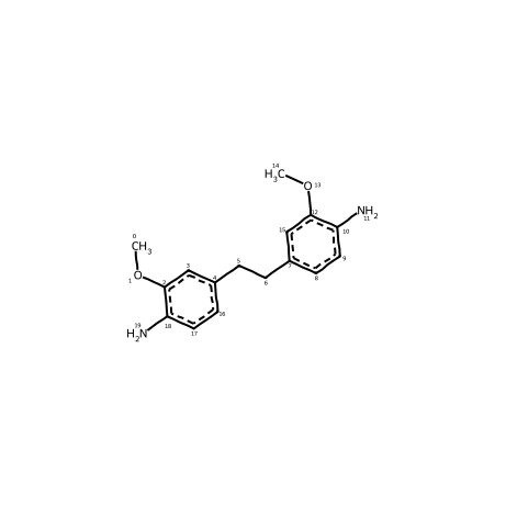 COc1cc(CCc2ccc(N)c(OC)c2)ccc1N